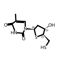 Cc1cn([C@H]2C[C@H](O)[C@@H](CS)S2)c(=O)[nH]c1=O